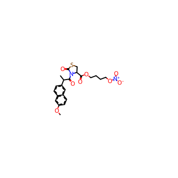 COc1ccc2cc(C(C)C(=O)N3C(=O)SCC3C(=O)OCCCCO[N+](=O)[O-])ccc2c1